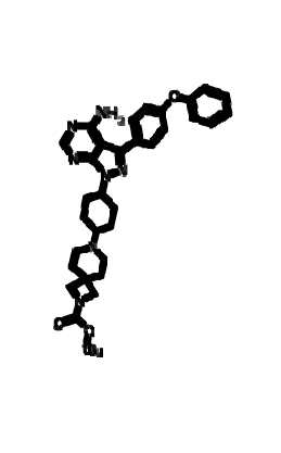 CC(C)(C)OC(=O)N1CC2(CCN(C3CCC(n4nc(-c5ccc(Oc6ccccc6)cc5)c5c(N)ncnc54)CC3)CC2)C1